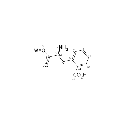 COC(=O)[C@@H](N)Cc1ccccc1C(=O)O